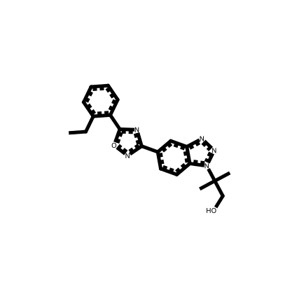 CCc1ccccc1-c1nc(-c2ccc3c(c2)nnn3C(C)(C)CO)no1